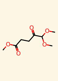 COC(=O)CCC(=O)C(OC)OC